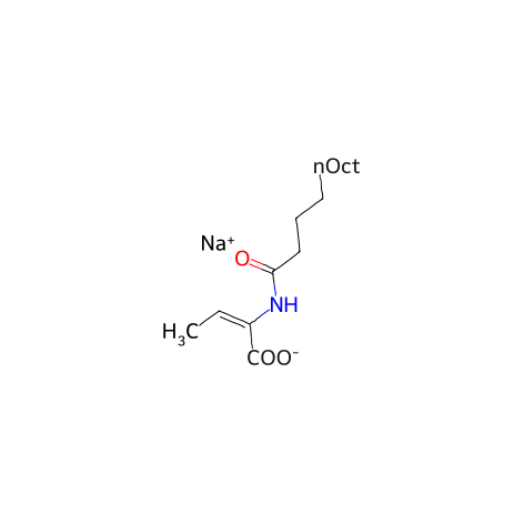 CC=C(NC(=O)CCCCCCCCCCC)C(=O)[O-].[Na+]